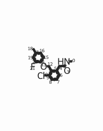 CNC(=O)Cc1cccc(Cl)c1COc1ccc(C)cc1F